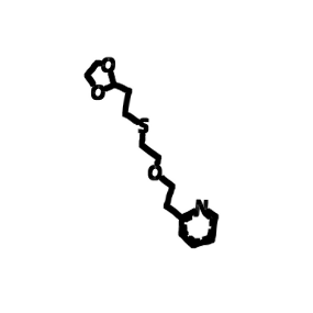 c1ccc(CCOCCSCCC2OCCO2)nc1